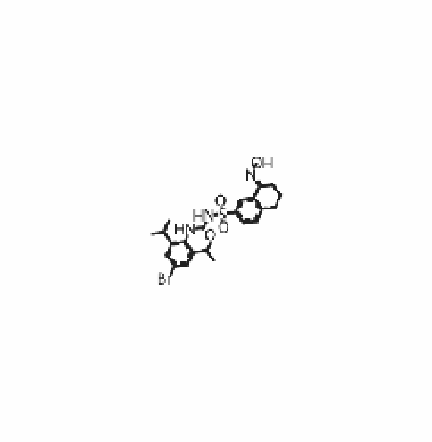 CC(C)c1cc(Br)cc(C(C)C)c1NC(=O)NS(=O)(=O)c1ccc2c(c1)/C(=N/O)CCC2